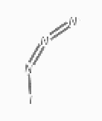 [N-]=[N+]=NI